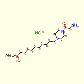 COC(=O)CCCCCCCCCCN1CCN(C(=O)CN)CC1.Cl